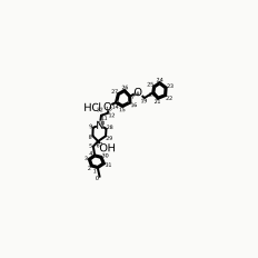 Cc1ccc(CC2(O)CCN(CCOc3ccc(OCc4ccccc4)cc3)CC2)cc1.Cl